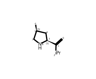 C=C(C(C)C)[C@@H]1C[C@H](C)CN1